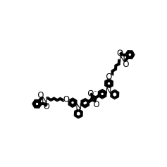 O=C1C(=C2C=CC(=[N+](c3ccc(OCCCCCCN4C(=O)c5ccccc5C4=O)cc3)C3CCCCC3)C=C2)C([O-])=C1c1ccc(N(c2ccc(OCCCCCCN3C(=O)c4ccccc4C3=O)cc2)C2CCCCC2)cc1